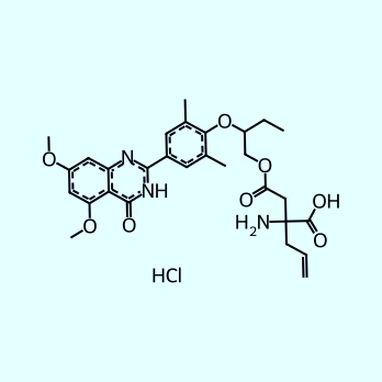 C=CCC(N)(CC(=O)OCC(CC)Oc1c(C)cc(-c2nc3cc(OC)cc(OC)c3c(=O)[nH]2)cc1C)C(=O)O.Cl